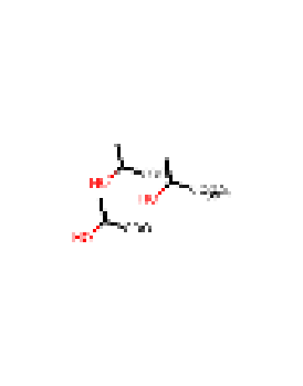 CC(O)C(=O)[O-].CC(O)C(=O)[O-].CC(O)C(=O)[O-].[Sb+3]